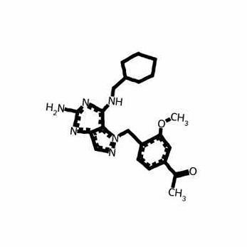 COc1cc(C(C)=O)ccc1Cn1ncc2nc(N)nc(NCC3CCCCC3)c21